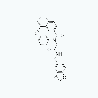 Nc1nccc2ccc(C(=O)N(CC(=O)NCc3ccc4c(c3)OCO4)c3ccccc3)cc12